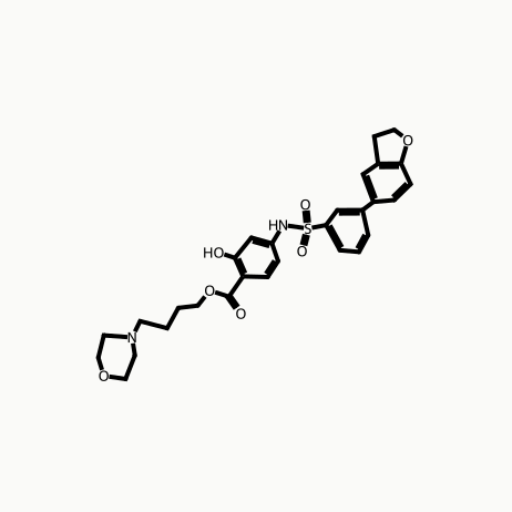 O=C(OCCCCN1CCOCC1)c1ccc(NS(=O)(=O)c2cccc(-c3ccc4c(c3)CCO4)c2)cc1O